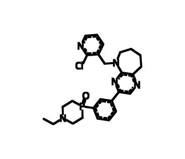 CCN1CCP(=O)(c2cccc(-c3cnc4c(n3)N(Cc3cccnc3Cl)CCCC4)c2)CC1